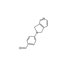 O=Cc1ccc(N2Cc3ccncc3C2)cc1